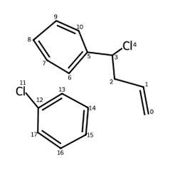 C=CCC(Cl)c1ccccc1.Clc1ccccc1